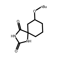 CCCCOC1CCCC2(C1)NC(=O)NC2=O